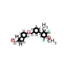 COc1c(F)cc(-c2cccc(COc3ccc4c(c3)C[C@H]3[C@H](C=O)[C@@H]43)c2)c(C)c1F